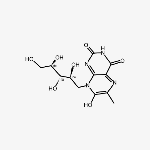 Cc1nc2c(=O)[nH]c(=O)nc-2n(C[C@H](O)[C@H](O)[C@H](O)CO)c1O